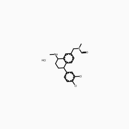 CNC1CCC(c2ccc(Cl)c(Cl)c2)c2ccc(CN(C)C=O)cc21.Cl